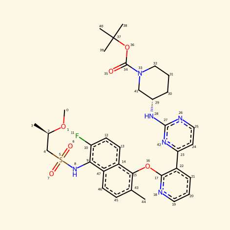 CO[C@H](C)CS(=O)(=O)Nc1c(F)ccc2c(Oc3ncccc3-c3ccnc(N[C@H]4CCCN(C(=O)OC(C)(C)C)C4)n3)c(C)ccc12